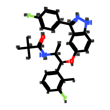 Cc1c(F)cccc1[C@@H](Oc1ccc2[nH]nc(-c3ccc(F)cc3)c2c1)[C@H](C)NC(=O)C(C)(C)C